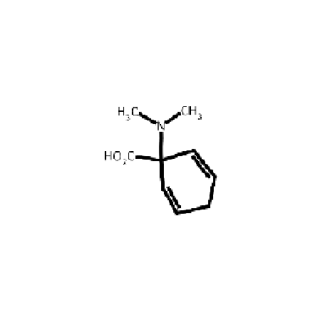 CN(C)C1(C(=O)O)C=CCC=C1